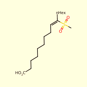 CCCCCCC(=CCCCCCCCC(=O)O)S(C)(=O)=O